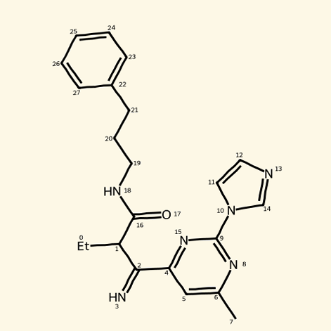 CCC(C(=N)c1cc(C)nc(-n2ccnc2)n1)C(=O)NCCCc1ccccc1